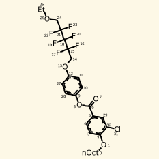 CCCCCCCCOc1ccc(C(=O)Oc2ccc(OCC(F)(F)C(F)(F)C(F)(F)COCC)cc2)cc1Cl